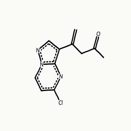 C=C(CC(C)=O)c1cnn2ccc(Cl)nc12